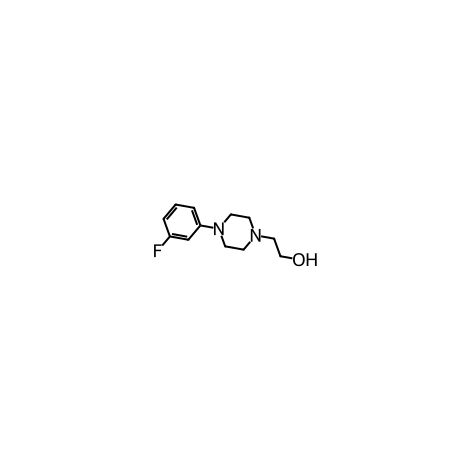 OCCN1CCN(c2cccc(F)c2)CC1